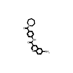 Nc1ccc2ncc(C(=O)Nc3ccc(C(=O)N4CCCCCC4)cc3)cc2c1